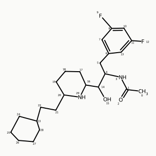 CC(=O)NC(Cc1cc(F)cc(F)c1)C(O)C1CCCC(CCC2CCCCC2)N1